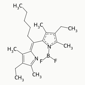 CCCCC/C(=C1/N=C(C)C(CC)=C1C)c1c(C)c(CC)c(C)n1B(F)F